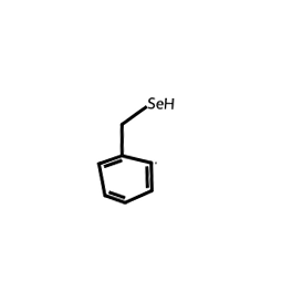 [SeH]Cc1[c]cccc1